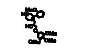 COc1ccccc1C1CNCCN1CC(O)COc1cc(OC)c(OC)c(OC)c1